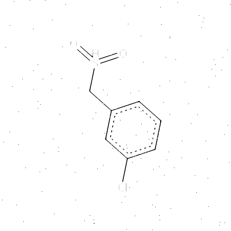 O=[SH](=O)Cc1cccc(Cl)c1